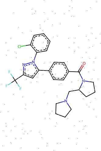 O=C(c1ccc(-c2cc(C(F)(F)F)nn2-c2ccccc2Cl)cc1)N1CCCC1CN1CCCC1